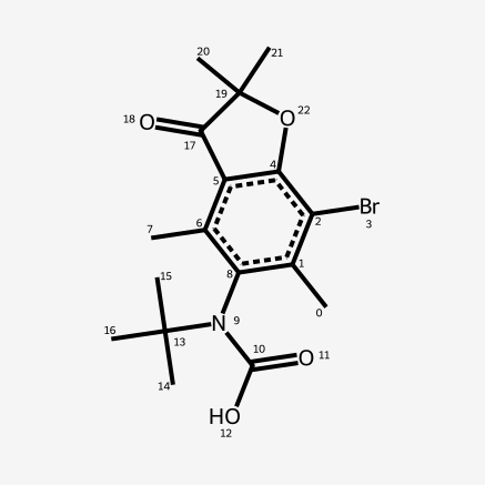 Cc1c(Br)c2c(c(C)c1N(C(=O)O)C(C)(C)C)C(=O)C(C)(C)O2